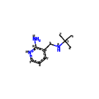 CC(C)(C)NCc1cccnc1N